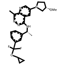 CO[C@H]1CCN(c2cnc3c(C)nnc(N[C@H](C)c4cccc(C(F)(F)OC5CC5)c4)c3c2)C1